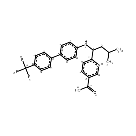 CC(C)CC(Nc1ccc(-c2ccc(C(F)(F)F)cc2)cc1)c1ccc(C(=O)O)cn1